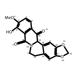 COc1ccc2c(c1O)C(=O)N1CCc3cc4c(cc3C1C2=O)OCO4